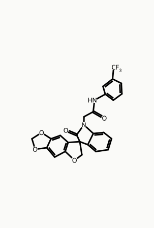 O=C(CN1C(=O)C2(COc3cc4c(cc32)OCO4)c2ccccc21)Nc1cccc(C(F)(F)F)c1